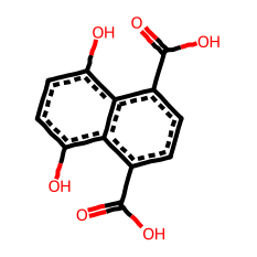 O=C(O)c1ccc(C(=O)O)c2c(O)ccc(O)c12